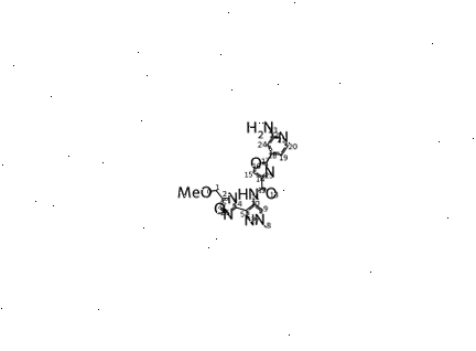 COCc1nc(-c2nn(C)cc2NC(=O)c2coc(-c3ccnc(N)c3)n2)no1